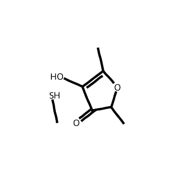 CC1=C(O)C(=O)C(C)O1.CS